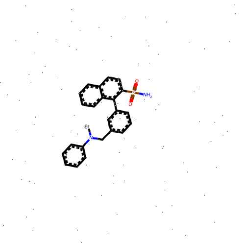 CCN(Cc1cccc(-c2c(S(N)(=O)=O)ccc3ccccc23)c1)c1ccccc1